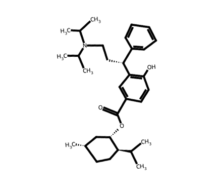 CC(C)[C@H]1CC[C@H](C)C[C@@H]1OC(=O)c1ccc(O)c([C@H](CCN(C(C)C)C(C)C)c2ccccc2)c1